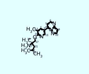 Cc1cc(-c2ccnc3ccnn23)cnc1OC[C@](C)(N)CC(C)C